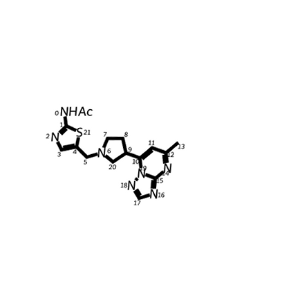 CC(=O)Nc1ncc(CN2CCC(c3cc(C)nc4ncnn34)C2)s1